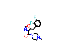 CN1CCN(C(=O)C2N=[C]OC2Cc2cccc(F)c2F)CC1